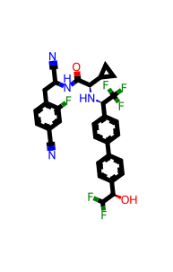 N#Cc1ccc(CC(C#N)NC(=O)[C@@H](N[C@@H](c2ccc(-c3ccc([C@@H](O)C(F)F)cc3)cc2)C(F)(F)F)C2CC2)c(F)c1